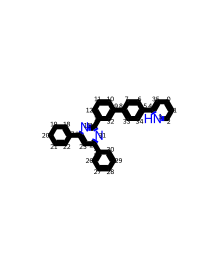 C1=CCNC(c2ccc(-c3cccc(-c4nc(C5=CCCC=C5)cc(-c5ccccc5)n4)c3)cc2)=C1